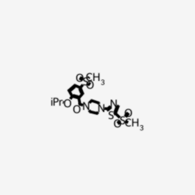 CC(C)Oc1ccc(S(C)(=O)=O)cc1C(=O)N1CCN(c2ncc(S(C)(=O)=O)s2)CC1